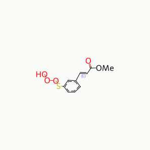 COC(=O)/C=C/c1cccc(SOOO)c1